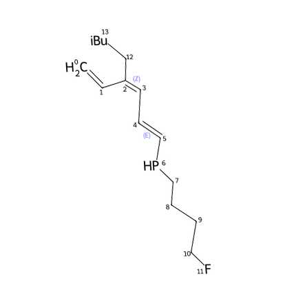 C=C/C(=C\C=C\PCCCCF)CC(C)CC